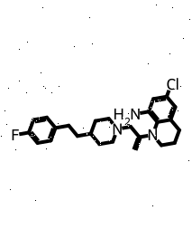 C=C(CN1CCC(CCc2ccc(F)cc2)CC1)N1CCCc2cc(Cl)cc(N)c21